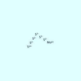 [Mo+6].[S-2].[S-2].[S-2].[S-2].[S-2].[Ti+4]